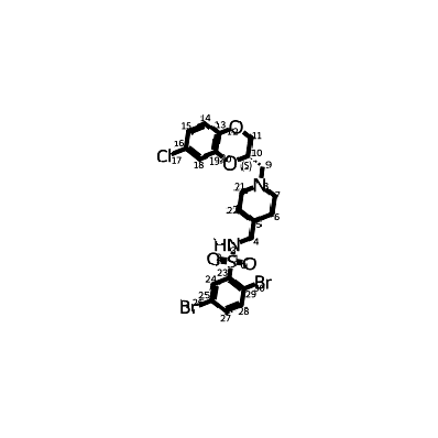 O=S(=O)(NCC1CCN(C[C@H]2COc3ccc(Cl)cc3O2)CC1)c1cc(Br)ccc1Br